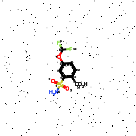 NS(=O)(=O)c1cc(OC(F)F)ccc1C(=O)O